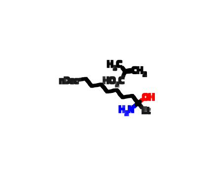 C=C(C)C(=O)O.CCCCCCCCCCCCCCCCCC(N)(O)CC